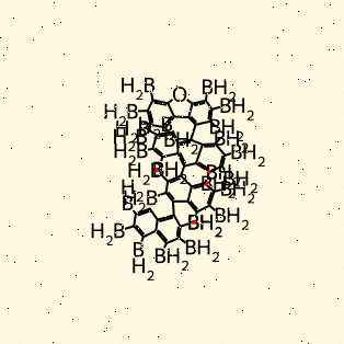 Bc1cc2c(-c3c(B)c(B)c(-c4c5c(B)c(B)c(B)c(B)c5c(-c5c(B)c(B)c(B)c6oc7c(B)c(B)c(B)c(B)c7c56)c5c(B)c(B)c(B)c(B)c45)c4c(B)c(B)c(B)c(B)c34)c(B)c(B)c(B)c2c(B)c1B